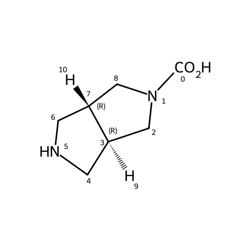 O=C(O)N1C[C@H]2CNC[C@@H]2C1